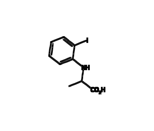 CC(Nc1ccccc1I)C(=O)O